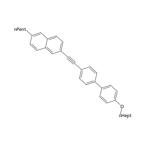 CCCCCCCOc1ccc(-c2ccc(C#Cc3ccc4cc(CCCCC)ccc4c3)cc2)cc1